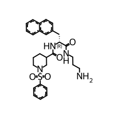 NCCCNC(=O)[C@@H](Cc1ccc2ccccc2c1)NC(=O)C1CCCN(S(=O)(=O)c2ccccc2)C1